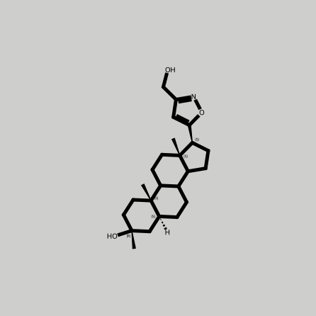 C[C@@]1(O)CC[C@]2(C)C3CC[C@@]4(C)C(CC[C@@H]4c4cc(CO)no4)C3CC[C@H]2C1